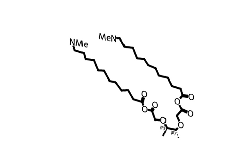 CNCCCCCCCCCCCC(=O)OC(=O)CO[C@H](C)[C@@H](C)OCC(=O)OC(=O)CCCCCCCCCCCNC